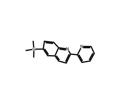 C[Si](C)(C)c1ccc2nc(-c3ccccn3)ccc2c1